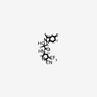 CC(O)(Cn1nc(I)c2cc(F)ccc21)C(=O)Nc1cnc(C#N)c(C(F)(F)F)c1